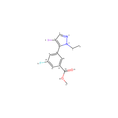 CCn1ncc(I)c1-c1cc(F)cc(C(=O)OC)c1